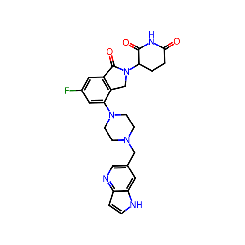 O=C1CCC(N2Cc3c(cc(F)cc3N3CCN(Cc4cnc5cc[nH]c5c4)CC3)C2=O)C(=O)N1